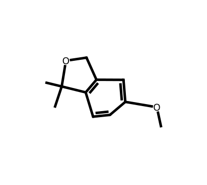 COc1ccc2c(c1)COC2(C)C